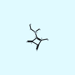 C=C1C(=C)C(N(C)CC)=C1C